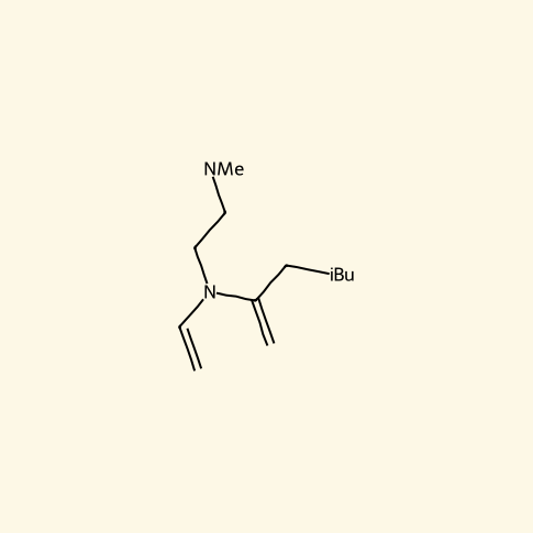 C=CN(CCNC)C(=C)CC(C)CC